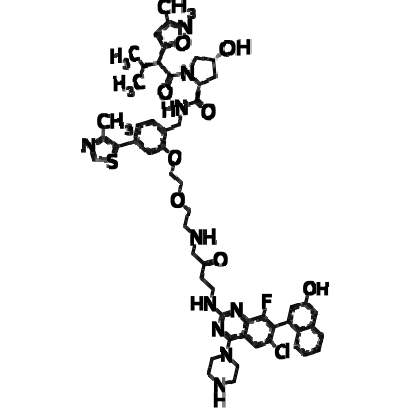 Cc1cc([C@@H](C(=O)N2C[C@H](O)C[C@H]2C(=O)NCc2ccc(-c3scnc3C)cc2OCCOCCNCC(=O)CCNc2nc(N3CCNCC3)c3cc(Cl)c(-c4cc(O)cc5ccccc45)c(F)c3n2)C(C)C)on1